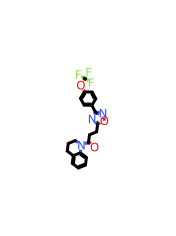 O=C(CCc1nc(-c2ccc(OC(F)(F)F)cc2)no1)N1CCCc2ccccc21